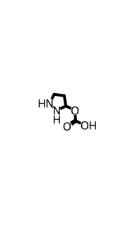 O=C(O)OC1CCNN1